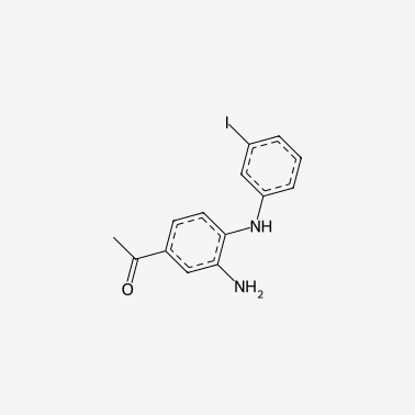 CC(=O)c1ccc(Nc2cccc(I)c2)c(N)c1